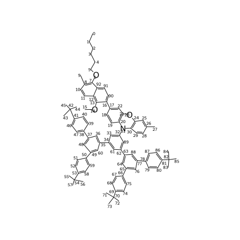 CCCCCCOc1c(C)ccc2c(OC)c(-c3ccc4c(c3)Oc3cc(C)ccc3N4c3cc(-c4cc(-c5ccc(C(C)(C)C)cc5)cc(-c5ccc(C(C)(C)C)cc5)c4)cc(-c4cc(-c5ccc(C(C)(C)C)cc5)cc(-c5ccc(C(C)(C)C)cc5)c4)c3)ccc12